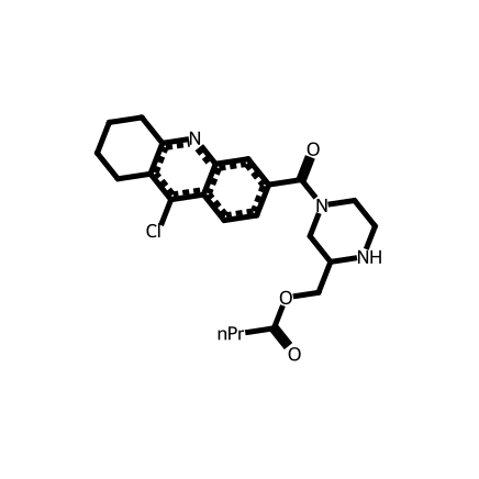 CCCC(=O)OCC1CN(C(=O)c2ccc3c(Cl)c4c(nc3c2)CCCC4)CCN1